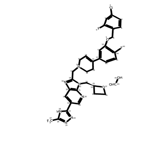 Fc1cc(Cl)ccc1COc1cc(C2=CCN(Cc3nc4cc(-c5nnc(C(F)(F)F)[nH]5)cnc4n3C[C@@H]3CCO3)CC2)ccc1F.O=CO